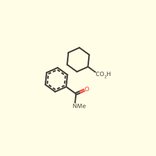 CNC(=O)c1ccccc1.O=C(O)C1CCCCC1